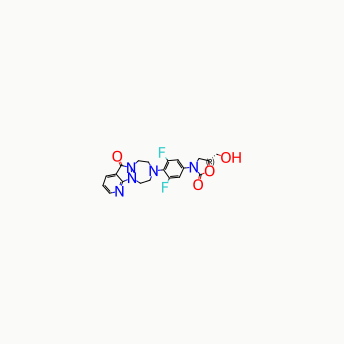 O=C1O[C@@H](CO)CN1c1cc(F)c(N2CCn3c(=O)c4cccnc4n3CC2)c(F)c1